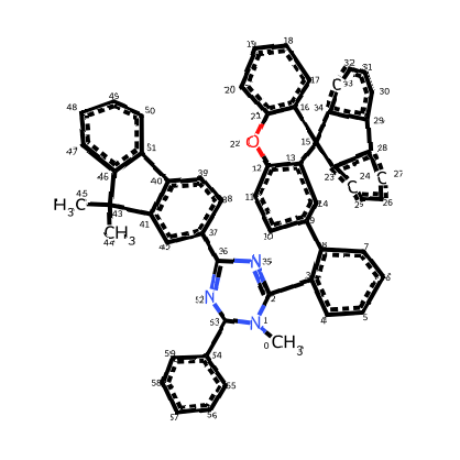 CN1C(c2ccccc2-c2ccc3c(c2)C2(c4ccccc4O3)c3ccccc3-c3ccccc32)=NC(c2ccc3c(c2)C(C)(C)c2ccccc2-3)=NC1c1ccccc1